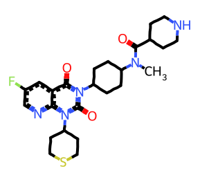 CN(C(=O)C1CCNCC1)C1CCC(n2c(=O)c3cc(F)cnc3n(C3CCSCC3)c2=O)CC1